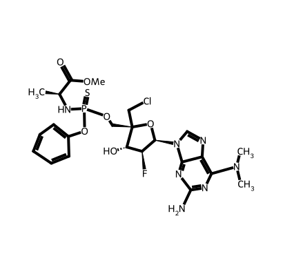 COC(=O)[C@H](C)NP(=S)(OC[C@@]1(CCl)O[C@@H](n2cnc3c(N(C)C)nc(N)nc32)[C@@H](F)[C@@H]1O)Oc1ccccc1